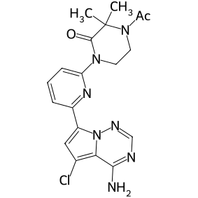 CC(=O)N1CCN(c2cccc(-c3cc(Cl)c4c(N)ncnn34)n2)C(=O)C1(C)C